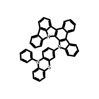 c1ccc(N2c3ccccc3Sc3cc(-n4c5ccccc5c5c6ccccc6c6c7cccc8c9ccccc9n(c87)c6c54)ccc32)cc1